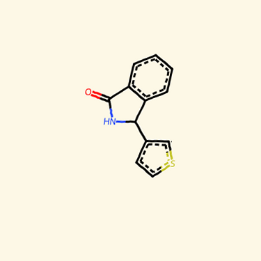 O=C1NC(c2[c]scc2)c2ccccc21